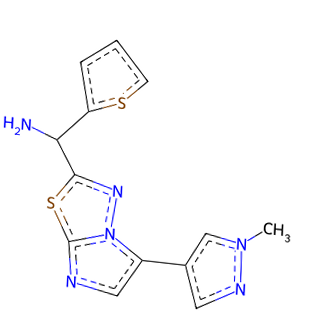 Cn1cc(-c2cnc3sc(C(N)c4cccs4)nn23)cn1